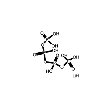 O=P(O)(O)OP(=O)(O)OP(=O)(O)OP(=O)(O)O.[LiH]